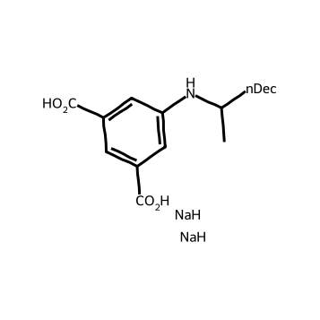 CCCCCCCCCCC(C)Nc1cc(C(=O)O)cc(C(=O)O)c1.[NaH].[NaH]